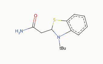 CC(C)(C)N1c2ccccc2SC1CC(N)=O